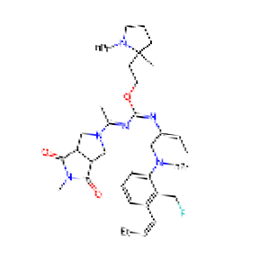 C/C=C(CN(CCC)c1cccc(/C=C\CC)c1CF)/N=C(\N=C(/C)N1CC2C(=O)N(C)C(=O)C2C1)OCCC1(C)CCCN1CCC